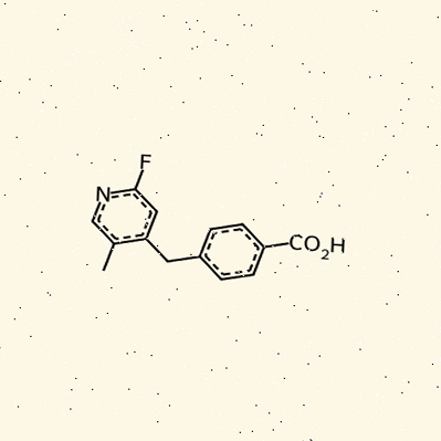 Cc1cnc(F)cc1Cc1ccc(C(=O)O)cc1